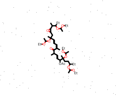 CCOC(C)OC(CC)CCC(C)(OC(C)OCC)C(C=CC(C)C(=O)C(C)=CC=CC(C)(CC1OC1C(C)C(CC)OC(C)OCC)OC(C)OCC)OC(C)=O